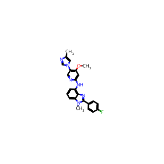 COc1cc(Nc2cccc3c2nc(-c2ccc(F)cc2)n3C)ncc1-n1cnc(C)c1